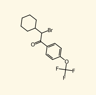 O=C(c1ccc(OC(F)(F)F)cc1)C(Br)C1CCCCC1